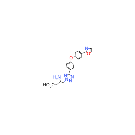 NC(CC(=O)O)Cn1nnc(-c2ccc(Oc3ccc(-c4ncco4)cc3)cc2)n1